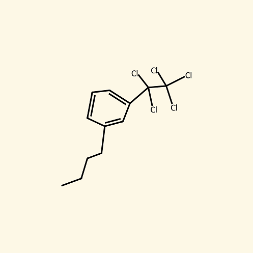 CCCCc1cccc(C(Cl)(Cl)C(Cl)(Cl)Cl)c1